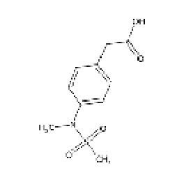 CN(c1ccc(CC(=O)O)cc1)S(C)(=O)=O